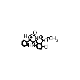 CCOC(=O)c1c(Cl)ccc2[nH]c(C(=O)c3ccccc3)c(NC(C)=O)c12